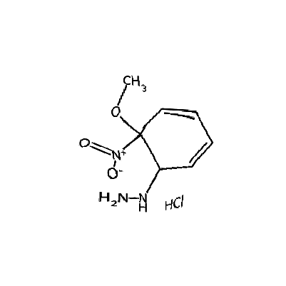 COC1([N+](=O)[O-])C=CC=CC1NN.Cl